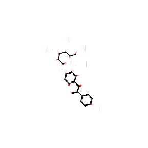 COc1c(O[C@@H]2OC(CO)[C@@H](O)[C@H](O)C2O)cc2occ(-c3ccc(O)cc3)c(=O)c2c1O